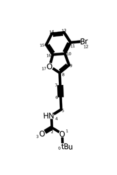 CC(C)(C)OC(=O)NCC#Cc1cc2c(Br)cccc2o1